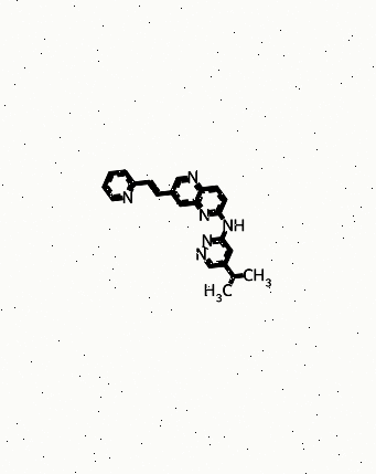 CC(C)c1cnnc(Nc2ccc3ncc(/C=C/c4ccccn4)cc3n2)c1